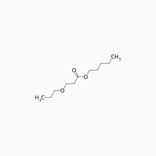 CCCCCOC(=O)CCOCCC